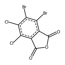 O=C1OC(=O)c2c(Br)c(Br)c(Cl)c(Cl)c21